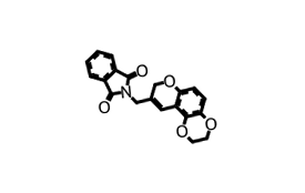 O=C1c2ccccc2C(=O)N1CC1=Cc2c(ccc3c2OCCO3)OC1